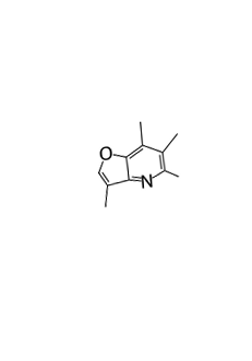 Cc1nc2c(C)coc2c(C)c1C